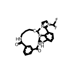 CC1CCCCNC(=O)c2cccc(c2)C(=O)/N=C2\Nc3cccc(-c4nccn4C(F)F)c3N21